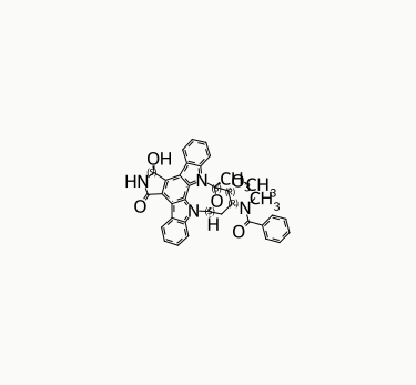 CO[C@@H]1[C@H](N(C)C(=O)c2ccccc2)C[C@@H]2O[C@]1(C)n1c3ccccc3c3c4c(c5c6ccccc6n2c5c31)C(=O)N[C@H]4O